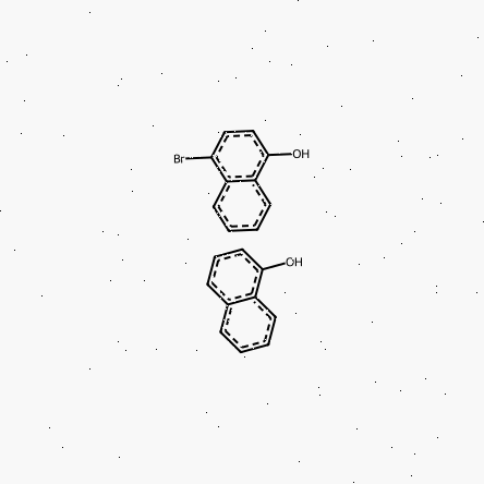 Oc1ccc(Br)c2ccccc12.Oc1cccc2ccccc12